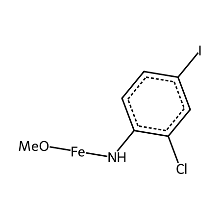 C[O][Fe][NH]c1ccc(I)cc1Cl